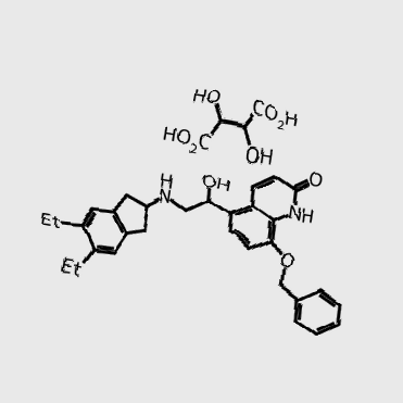 CCc1cc2c(cc1CC)CC(NCC(O)c1ccc(OCc3ccccc3)c3[nH]c(=O)ccc13)C2.O=C(O)C(O)C(O)C(=O)O